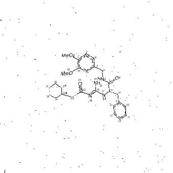 COc1ccc(CNC(=O)C(Cc2ccccc2)NC(N)=NC(=O)CC2CCCCC2)cc1OC